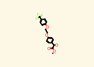 COC(=O)C(=O)c1ccc(OCCOc2ccc(C(F)(F)F)cc2)cc1